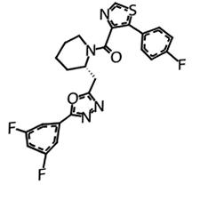 O=C(c1ncsc1-c1ccc(F)cc1)N1CCCC[C@H]1Cc1nnc(-c2cc(F)cc(F)c2)o1